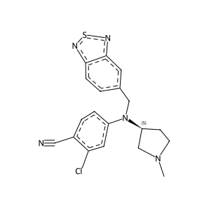 CN1CC[C@H](N(Cc2ccc3nsnc3c2)c2ccc(C#N)c(Cl)c2)C1